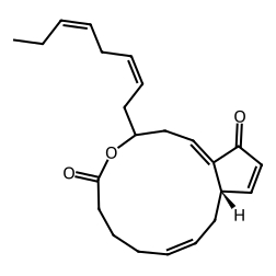 CC/C=C\C/C=C\CC1C/C=C2/C(=O)C=C[C@@H]2C/C=C\CCCC(=O)O1